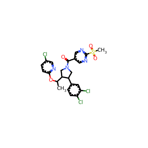 CC(Oc1ccc(Cl)cn1)C1CN(C(=O)c2cnc(S(C)(=O)=O)nc2)CC1c1ccc(Cl)c(Cl)c1